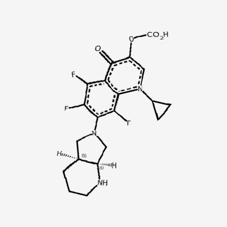 O=C(O)Oc1cn(C2CC2)c2c(F)c(N3C[C@@H]4CCCN[C@@H]4C3)c(F)c(F)c2c1=O